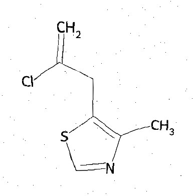 C=C(Cl)Cc1scnc1C